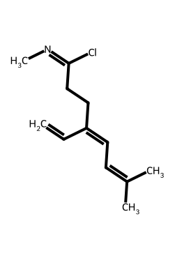 C=C/C(=C\C=C(C)C)CC/C(Cl)=N\C